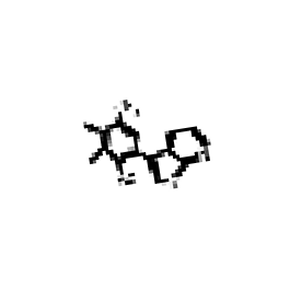 [CH2]c1c(C(F)(F)F)cc(-c2csc3ncccc23)c(C(C)=O)c1C